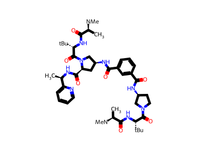 CN[C@@H](C)C(=O)N[C@H](C(=O)N1CC[C@H](NC(=O)c2cccc(C(=O)N[C@H]3C[C@@H](C(=O)N[C@H](C)c4ccccn4)N(C(=O)[C@@H](NC(=O)[C@H](C)NC)C(C)(C)C)C3)c2)C1)C(C)(C)C